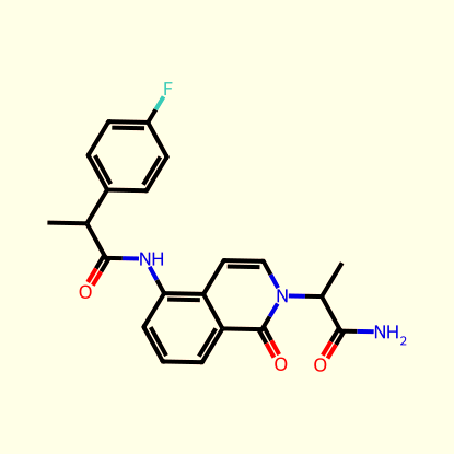 CC(C(=O)Nc1cccc2c(=O)n(C(C)C(N)=O)ccc12)c1ccc(F)cc1